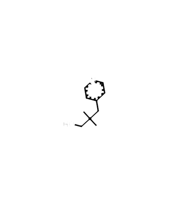 CC(C)(CO)Cc1ccncc1